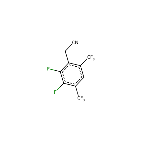 N#CCc1c(C(F)(F)F)cc(C(F)(F)F)c(F)c1F